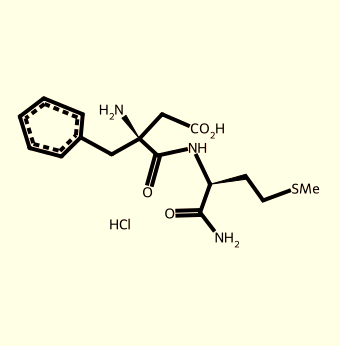 CSCC[C@H](NC(=O)[C@@](N)(CC(=O)O)Cc1ccccc1)C(N)=O.Cl